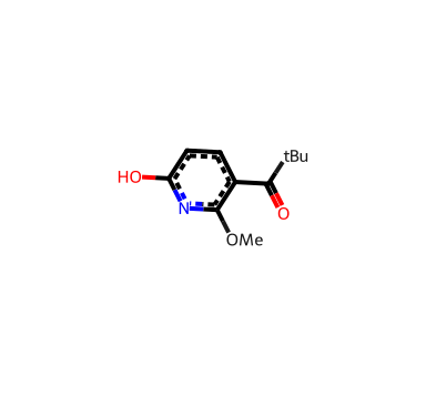 COc1nc(O)ccc1C(=O)C(C)(C)C